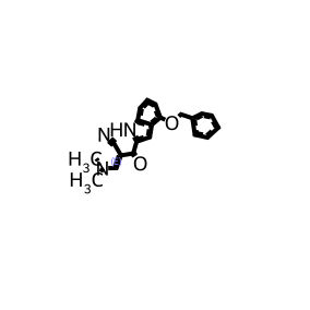 CN(C)/C=C(\C#N)C(=O)c1cc2c(OCc3ccccc3)cccc2[nH]1